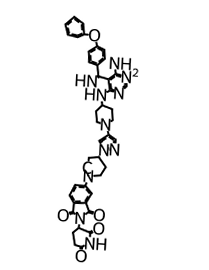 N=C(c1ccc(Oc2ccccc2)cc1)c1c(N)ncnc1NC1CCN(c2cnn(C3CCN(c4ccc5c(c4)C(=O)N(C4CCC(=O)NC4=O)C5=O)CC3)c2)CC1